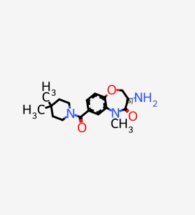 CN1C(=O)[C@@H](N)COc2ccc(C(=O)N3CCC(C)(C)CC3)cc21